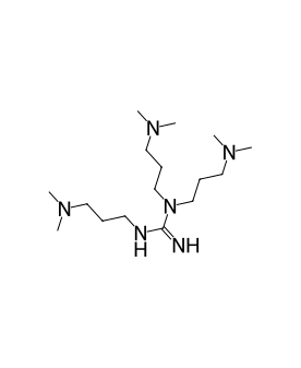 CN(C)CCCNC(=N)N(CCCN(C)C)CCCN(C)C